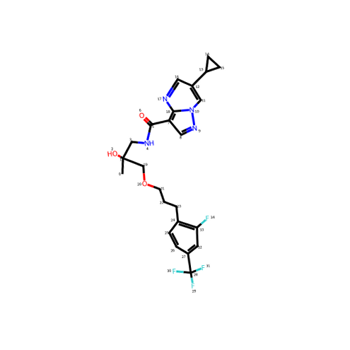 CC(O)(CNC(=O)c1cnn2cc(C3CC3)cnc12)COCCCc1ccc(C(F)(F)F)cc1F